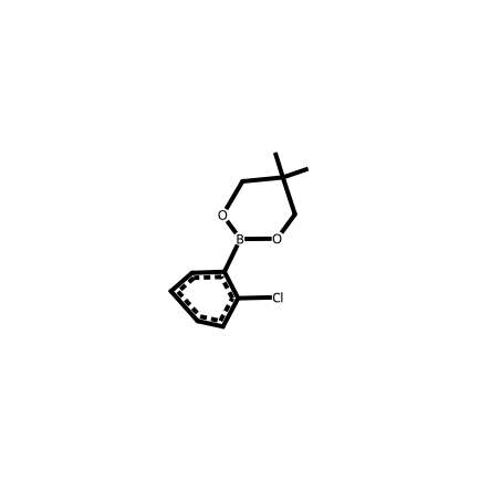 CC1(C)COB(c2ccccc2Cl)OC1